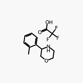 Cc1ccccc1C1COCCN1.O=C(O)C(F)(F)F